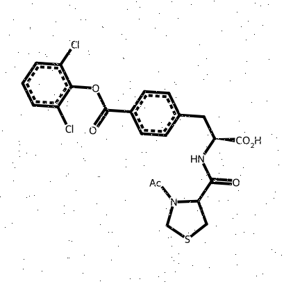 CC(=O)N1CSCC1C(=O)N[C@@H](Cc1ccc(C(=O)Oc2c(Cl)cccc2Cl)cc1)C(=O)O